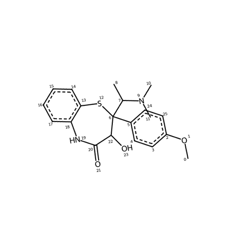 COc1ccc(C2(C(C)N(C)C)Sc3ccccc3NC(=O)C2O)cc1